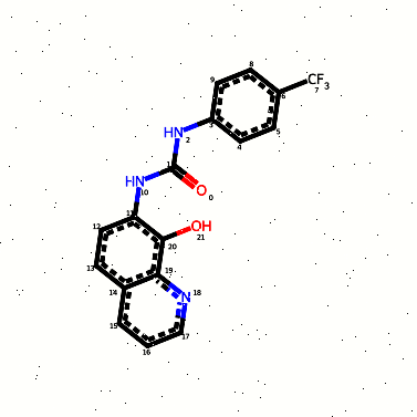 O=C(Nc1ccc(C(F)(F)F)cc1)Nc1ccc2cccnc2c1O